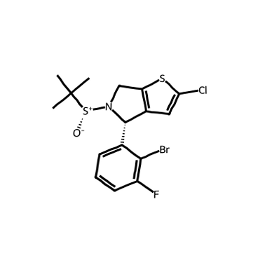 CC(C)(C)[S@@+]([O-])N1Cc2sc(Cl)cc2[C@@H]1c1cccc(F)c1Br